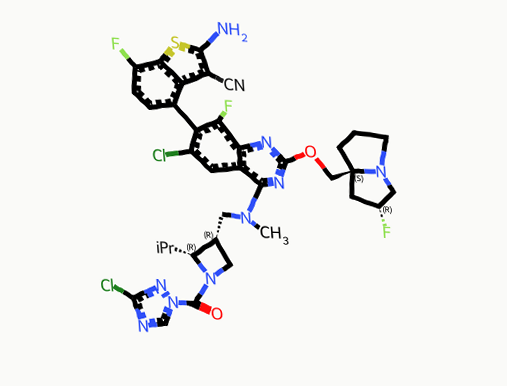 CC(C)[C@@H]1[C@H](CN(C)c2nc(OC[C@@]34CCCN3C[C@H](F)C4)nc3c(F)c(-c4ccc(F)c5sc(N)c(C#N)c45)c(Cl)cc23)CN1C(=O)n1cnc(Cl)n1